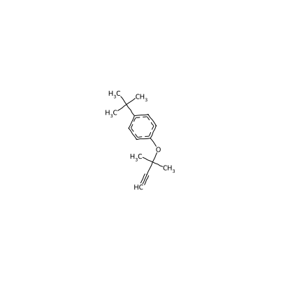 C#CC(C)(C)Oc1ccc(C(C)(C)C)cc1